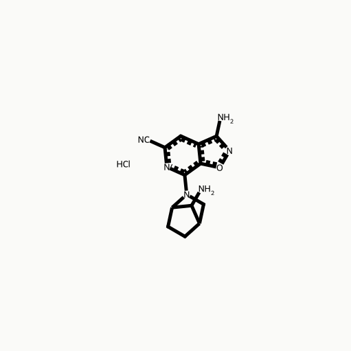 Cl.N#Cc1cc2c(N)noc2c(N2CC3CCC2C3N)n1